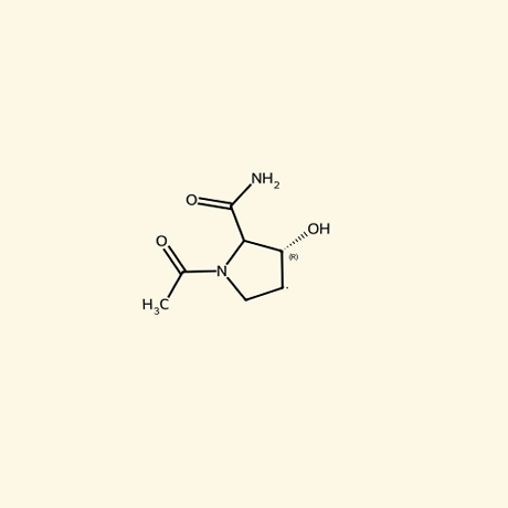 CC(=O)N1C[CH][C@@H](O)C1C(N)=O